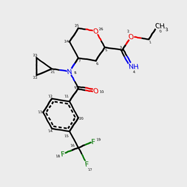 CCOC(=N)C1CC(N(C(=O)c2cccc(C(F)(F)F)c2)C2CC2)CCO1